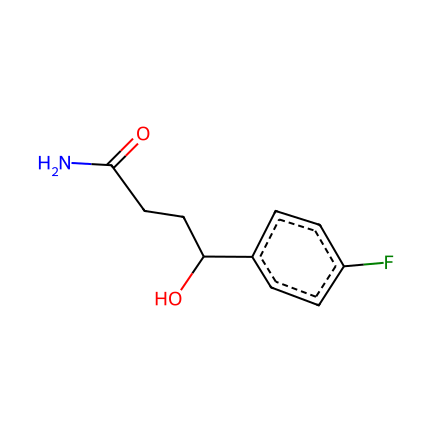 NC(=O)CCC(O)c1ccc(F)cc1